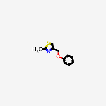 Cc1nc(COc2ccccc2)cs1